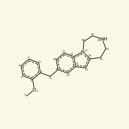 COc1ccccc1Cc1ccc2c(c1)cc1n2CCNCC1